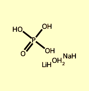 O.O=P(O)(O)O.[LiH].[NaH]